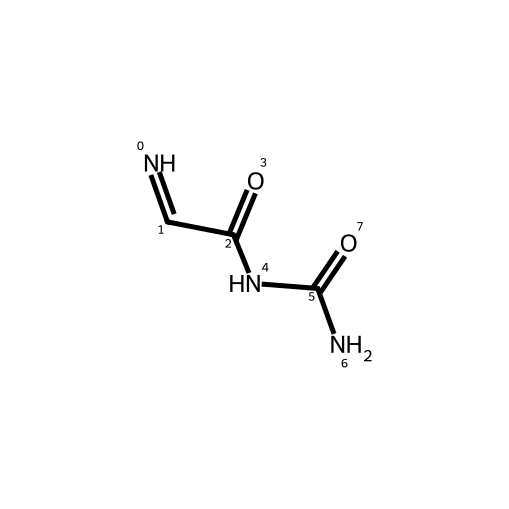 N=CC(=O)NC(N)=O